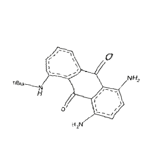 CCCCNc1cccc2c1C(=O)c1c(N)ccc(N)c1C2=O